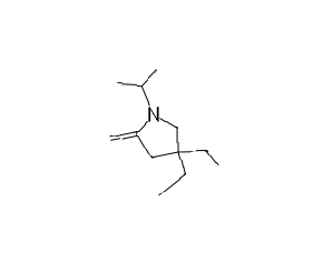 C=C1CC(CC)(CC)CN1C(C)C